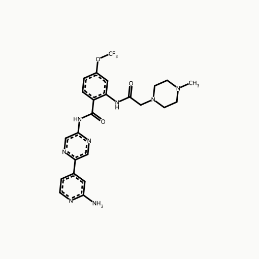 CN1CCN(CC(=O)Nc2cc(OC(F)(F)F)ccc2C(=O)Nc2cnc(-c3ccnc(N)c3)cn2)CC1